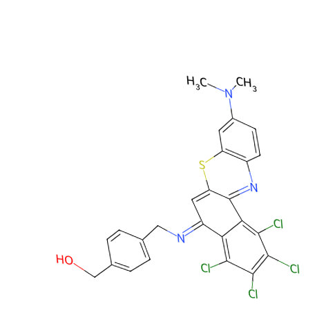 CN(C)c1ccc2nc3c4c(Cl)c(Cl)c(Cl)c(Cl)c4c(=NCc4ccc(CO)cc4)cc-3sc2c1